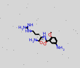 COc1ccc(N)cc1C(=O)N[C@@H](CCCNC(=N)N)C(N)=O